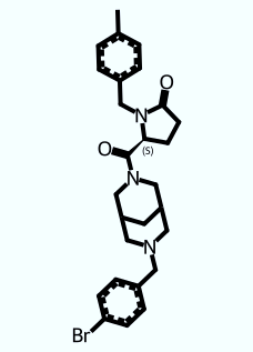 Cc1ccc(CN2C(=O)CC[C@H]2C(=O)N2CC3CC(CN(Cc4ccc(Br)cc4)C3)C2)cc1